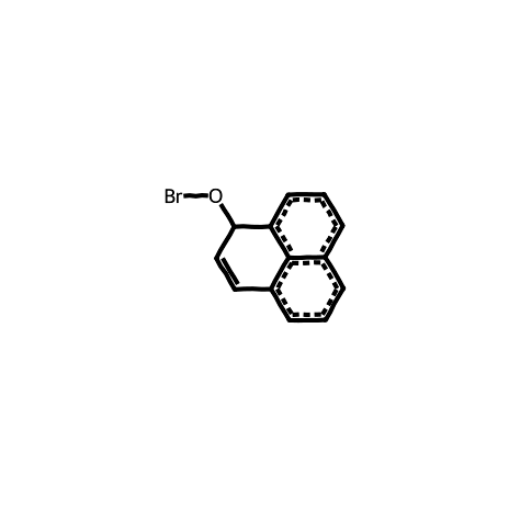 BrOC1C=Cc2cccc3cccc1c23